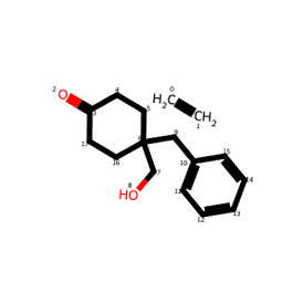 C=C.O=C1CCC(CO)(Cc2ccccc2)CC1